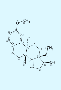 CC[C@]12CC[C@@H]3c4cc(OC)[c]cc4CC[C@H]3C1=CC[C@@H]2O